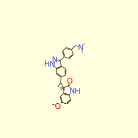 COc1ccc2c(c1)[C@]1(CC1c1ccc3c(-c4ccc(CN(C)C)cc4)n[nH]c3c1)C(=O)N2